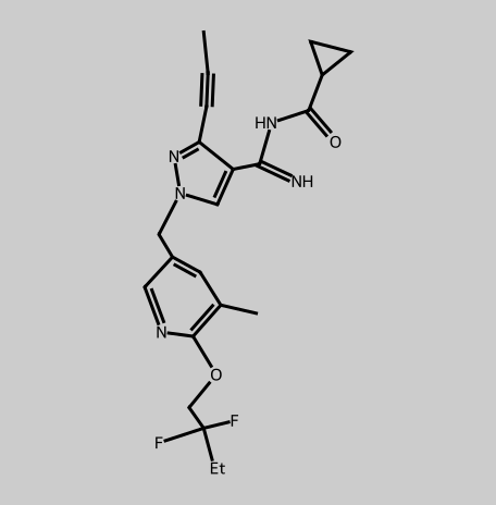 CC#Cc1nn(Cc2cnc(OCC(F)(F)CC)c(C)c2)cc1C(=N)NC(=O)C1CC1